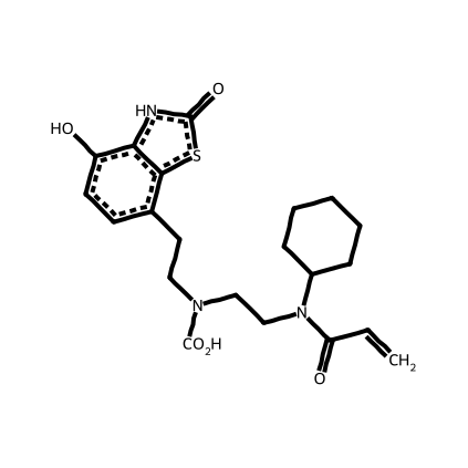 C=CC(=O)N(CCN(CCc1ccc(O)c2[nH]c(=O)sc12)C(=O)O)C1CCCCC1